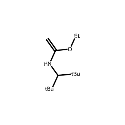 C=C(NC(C(C)(C)C)C(C)(C)C)OCC